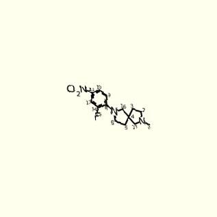 CN1CCC2(CCN(c3ccc([N+](=O)[O-])cc3F)C2)C1